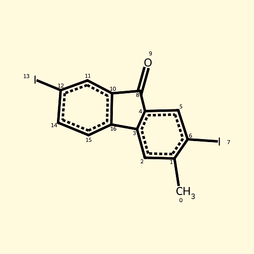 Cc1cc2c(cc1I)C(=O)c1cc(I)ccc1-2